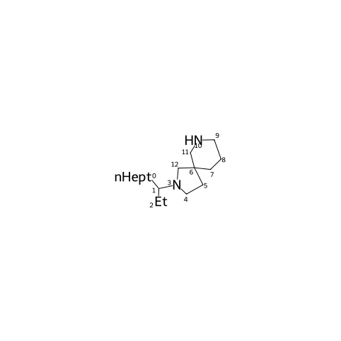 CCCCCCCC(CC)N1CCC2(CCCNC2)C1